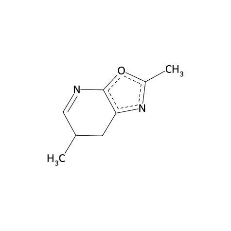 Cc1nc2c(o1)N=CC(C)C2